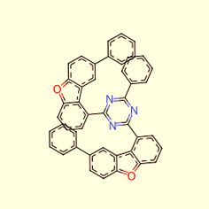 c1ccc(-c2ccc3oc4cccc(-c5nc(-c6ccccc6)nc(-c6cccc7oc8ccc(-c9ccccc9)cc8c67)n5)c4c3c2)cc1